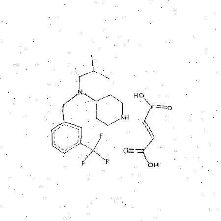 CC(C)CN(Cc1cccc(C(F)(F)F)c1)C1CCNCC1.O=C(O)C=CC(=O)O